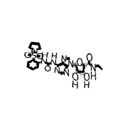 CCNC(=O)[C@H]1O[C@@H](n2cnc3c(NC(=O)Nc4ccccc4S(=O)(=O)N4CC=CC4)ncnc32)[C@H](O)[C@@H]1O